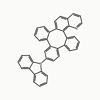 c1ccc2c(c1)-c1cc(-n3c4ccccc4c4ccccc43)ccc1-c1ccccc1-c1c-2ccc2cccnc12